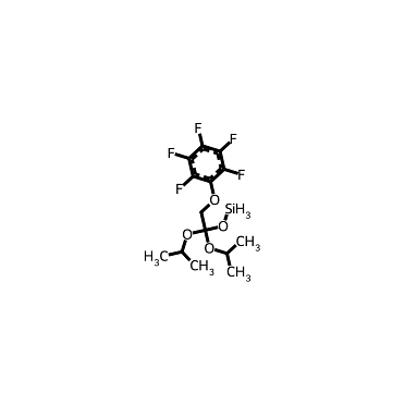 CC(C)OC(COc1c(F)c(F)c(F)c(F)c1F)(O[SiH3])OC(C)C